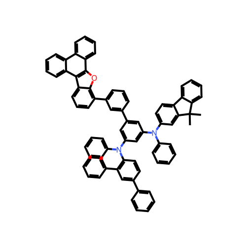 CC1(C)c2ccccc2-c2ccc(N(c3ccccc3)c3cc(-c4cccc(-c5cccc6c5oc5c7ccccc7c7ccccc7c65)c4)cc(N(c4ccccc4)c4ccc(-c5ccccc5)cc4-c4ccccc4)c3)cc21